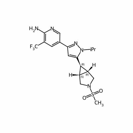 CC(C)n1nc(-c2cnc(N)c(C(F)(F)F)c2)cc1[C@H]1[C@@H]2CN(S(C)(=O)=O)C[C@@H]21